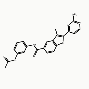 CC(=O)Nc1cccc(NC(=O)c2ccc3sc(-c4ccnc(N)n4)c(C)c3c2)c1